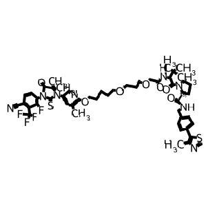 Cc1cc(N2C(=S)N(c3ccc(C#N)c(C(F)(F)F)c3F)C(=O)C2(C)C)cnc1OCCCCCOCCCOCC(=O)NC(C(=O)N1CCC[C@H]1C(=O)NCc1ccc(-c2scnc2C)cc1)C(C)(C)C